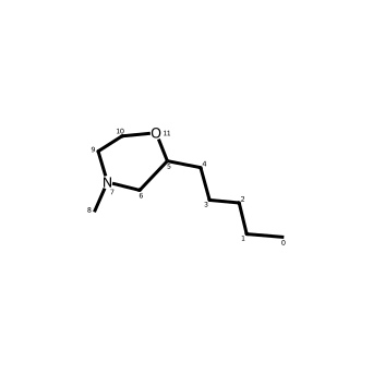 CCCCCC1CN(C)CCO1